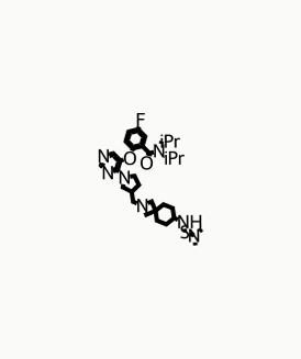 CC(C)N(C(=O)c1cc(F)ccc1Oc1cncnc1N1CCC(CN2CC3(CCC(NSN(C)C)CC3)C2)C1)C(C)C